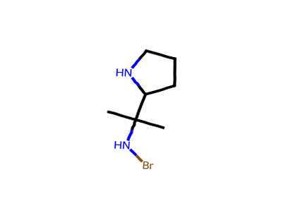 CC(C)(NBr)C1CCCN1